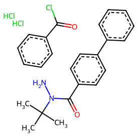 CC(C)(C)N(N)C(=O)c1ccc(-c2ccccc2)cc1.Cl.Cl.O=C(Cl)c1ccccc1